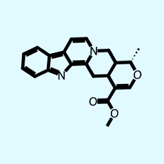 COC(=O)C1=CO[C@@H](C)C2Cn3ccc4c5ccccc5nc-4c3CC12